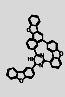 c1ccc(C2=NC(c3cccc4oc5ccc(-c6ccc7oc8ccccc8c7c6)cc5c34)=NC(c3ccc4oc5ccccc5c4c3)N2)cc1